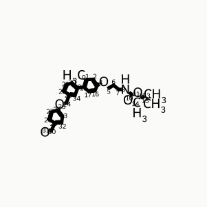 Cc1cc(OCCCNC(=O)OC(C)(C)C)ccc1-c1cccc(COc2ccc(C=O)cc2)c1